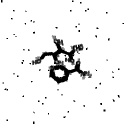 NC(=O)c1cccnc1.O=CC(O)C(O)C(O)CO